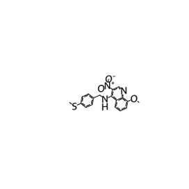 COc1cccc2c(NCc3ccc(SC)cc3)c([N+](=O)[O-])cnc12